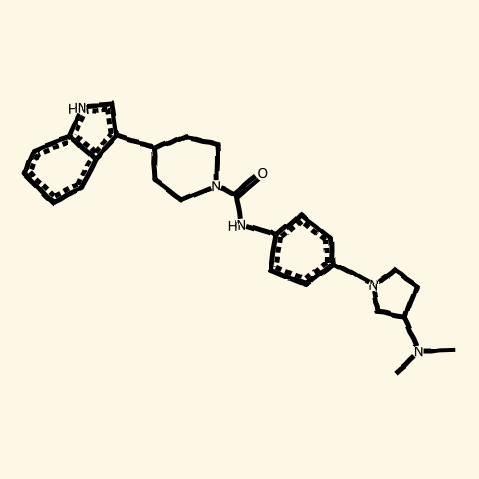 CN(C)C1CCN(c2ccc(NC(=O)N3CCC(c4c[nH]c5ccccc45)CC3)cc2)C1